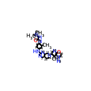 Cc1cc(Nc2ncc3c(n2)CN(c2cnc4c(c2C)NCCO4)CC3)ccc1NC(=O)CN(C)C